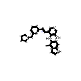 Cc1c(Nc2c(C#N)cncc2/C=C/c2cccc(CN3CCCC3)n2)ccc2[nH]ccc12